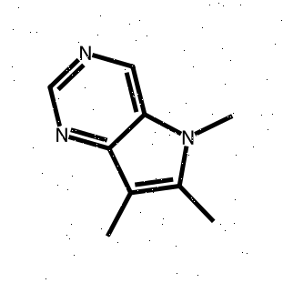 Cc1c(C)n(C)c2cncnc12